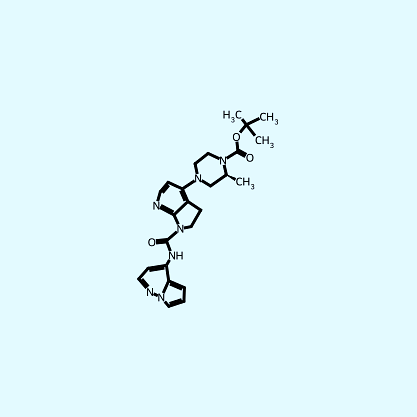 C[C@H]1CN(c2ccnc3c2CCN3C(=O)Nc2ccnn3cccc23)CCN1C(=O)OC(C)(C)C